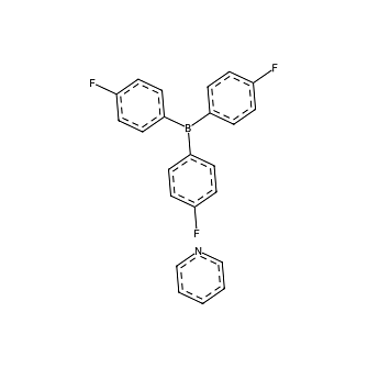 Fc1ccc(B(c2ccc(F)cc2)c2ccc(F)cc2)cc1.c1ccncc1